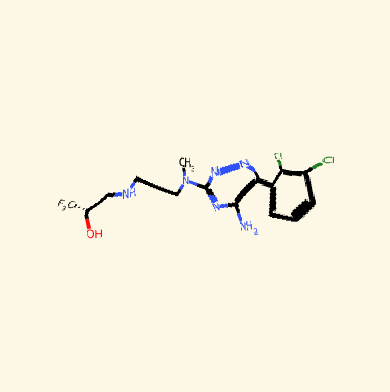 CN(CCNC[C@H](O)C(F)(F)F)c1nnc(-c2cccc(Cl)c2Cl)c(N)n1